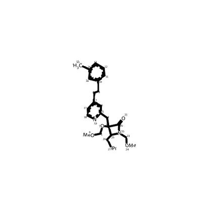 COCOC1(Cc2cc(CCc3cccc(C)c3)ccn2)C(=O)N(COC)C1CC(C)C